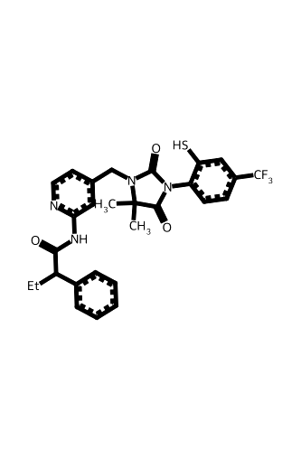 CCC(C(=O)Nc1cc(CN2C(=O)N(c3ccc(C(F)(F)F)cc3S)C(=O)C2(C)C)ccn1)c1ccccc1